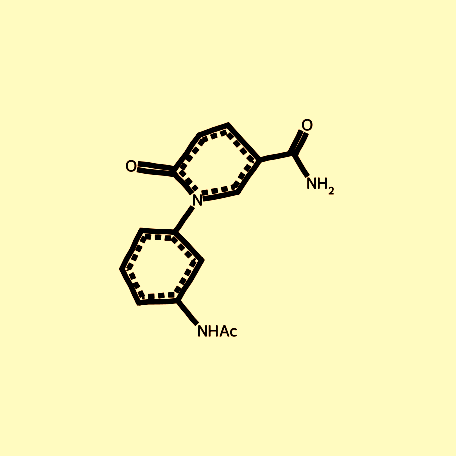 CC(=O)Nc1cccc(-n2cc(C(N)=O)ccc2=O)c1